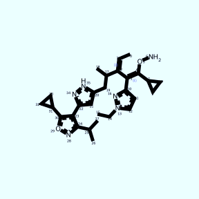 C/C=C(\C(=C(/ON)C1CC1)c1ccn(CC)n1)C(C)Cc1cc(-c2c(C(C)C)noc2C2CC2)n[nH]1